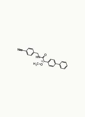 CO[C@H](C(=O)NCc1ccc(C#N)cc1)c1ccc(-c2ccccc2)cc1